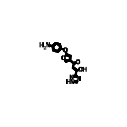 Nc1ccc(Oc2cc(C(=O)C=C(O)c3nc[nH]n3)co2)cc1